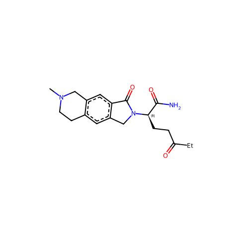 CCC(=O)CC[C@H](C(N)=O)N1Cc2cc3c(cc2C1=O)CN(C)CC3